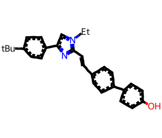 CCn1cc(-c2ccc(C(C)(C)C)cc2)nc1C=Cc1ccc(-c2ccc(O)cc2)cc1